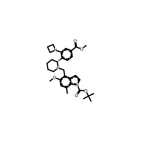 COC(=O)c1ccc([C@@H]2CCCCN2Cc2c(OC)cc(C)c3c2ccn3C(=O)OC(C)(C)C)c(N2CCC2)c1